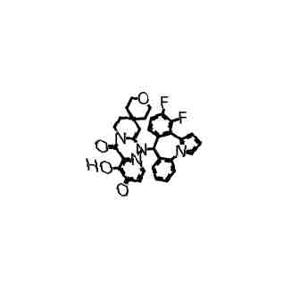 O=C1c2c(O)c(=O)ccn2N(C2c3ccccc3-n3cccc3-c3c2ccc(F)c3F)C2CC3(CCOCC3)CCN12